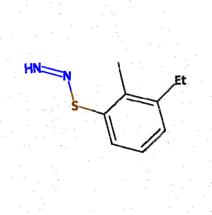 CCc1cccc(SN=N)c1C